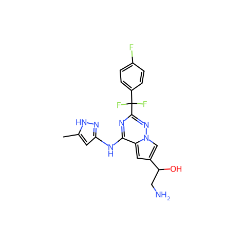 Cc1cc(Nc2nc(C(F)(F)c3ccc(F)cc3)nn3cc(C(O)CN)cc23)n[nH]1